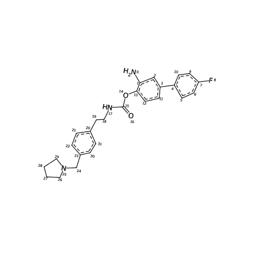 Nc1cc(-c2ccc(F)cc2)ccc1OC(=O)NCCc1ccc(CN2CCCC2)cc1